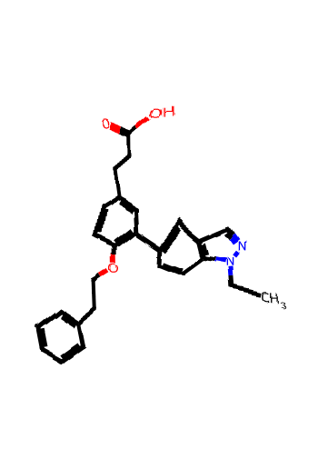 CCn1ncc2cc(-c3cc(CCC(=O)O)ccc3OCCc3ccccc3)ccc21